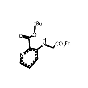 CCOC(=O)CNc1cccnc1C(=O)OC(C)(C)C